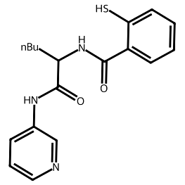 CCCCC(NC(=O)c1ccccc1S)C(=O)Nc1cccnc1